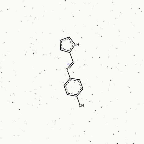 N#Cc1ccc(/N=C/c2ccc[nH]2)cc1